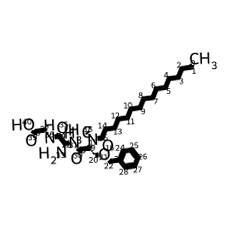 CCCCCCCCCCCCCCCC(=O)N(C)[C@H](COCc1ccccc1)C(=O)N[C@H](N)C(=O)NCC(=O)O